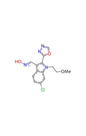 COCCn1c(-c2nnco2)c(/C=N/O)c2ccc(Cl)cc21